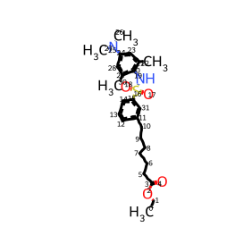 CCOC(=O)CCCCCCc1cccc(S(=O)(=O)Nc2c(C)cc(N(C)C)cc2C)c1